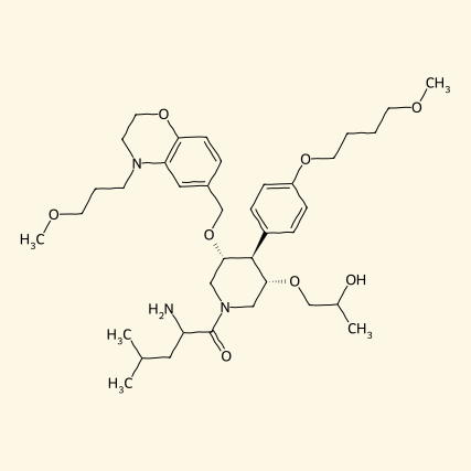 COCCCCOc1ccc([C@@H]2[C@@H](OCc3ccc4c(c3)N(CCCOC)CCO4)CN(C(=O)C(N)CC(C)C)C[C@H]2OCC(C)O)cc1